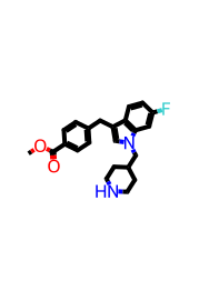 COC(=O)c1ccc(Cc2cn(CC3CCNCC3)c3cc(F)ccc23)cc1